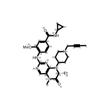 CC#CCN1CCC(N2c3nc(Nc4ccc(C(=O)NC5CC5)cc4OC)ncc3N(C)C(=O)[C@H]2CC)CC1